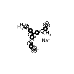 CCN(CC)c1ccc(C(=C2C=CC(=[N+](CC)Cc3cccc(S(=O)(=O)[O-])c3)C=C2)c2ccc(N(CC)Cc3cccc(S(=O)(=O)[O-])c3)cc2)c(C)c1.[Na+]